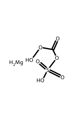 O=C(OO)OS(=O)(=O)O.[MgH2]